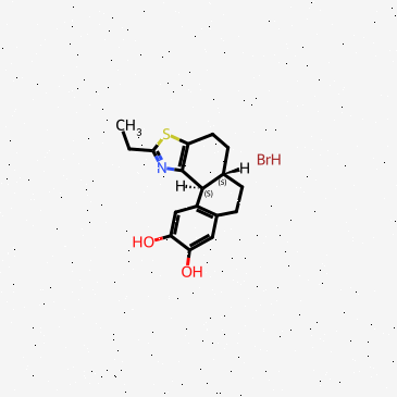 Br.CCc1nc2c(s1)CC[C@@H]1CCc3cc(O)c(O)cc3[C@@H]21